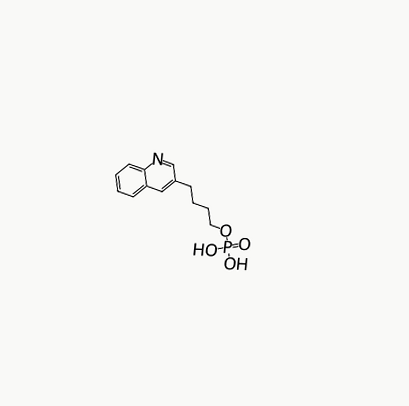 O=P(O)(O)OCCCCc1cnc2ccccc2c1